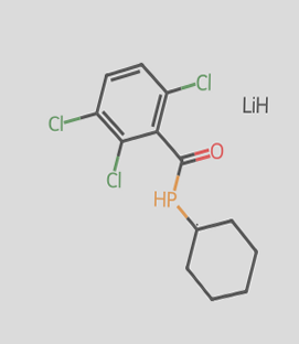 O=C(P[C]1CCCCC1)c1c(Cl)ccc(Cl)c1Cl.[LiH]